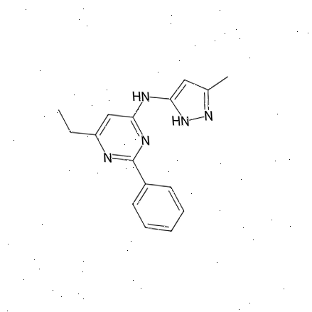 CCc1cc(Nc2cc(C)n[nH]2)nc(-c2ccccc2)n1